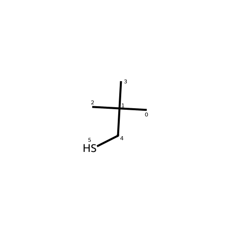 CC(C)(C)CS